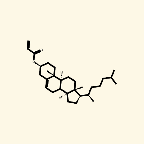 C=CC(=O)O[C@H]1CC[C@@]2(C)C(=CCC3[C@@H]4CC[C@H]([C@H](C)CCCC(C)C)[C@@]4(C)CC[C@@H]32)C1